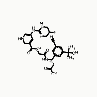 CC(C)(O)c1cc(C#N)cc([C@H](CC(=O)O)NC(=O)CNC(=O)C2=CC(NC3=NCC(F)CN3)=CNC2)c1